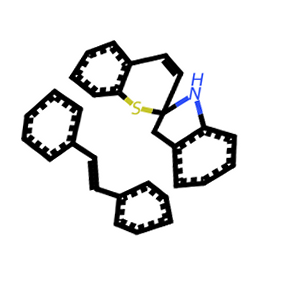 C(=Cc1ccccc1)c1ccccc1.C1=CC2(Cc3ccccc3N2)Sc2ccccc21